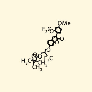 COc1ccc(-c2cc3ccc(OCC(COC(=O)C4(C)C(C)C4(C)C)CC(F)(F)F)cc3oc2=O)c(OC(F)(F)F)c1